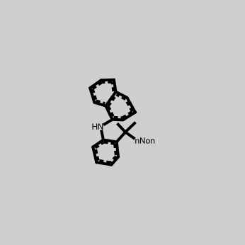 CCCCCCCCCC(C)(C)c1ccccc1Nc1cccc2ccccc12